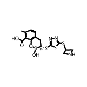 Cc1ccc2c(c1C(=O)O)OB(O)[C@@H](Sc1nnc(SC3CNC3)s1)C2